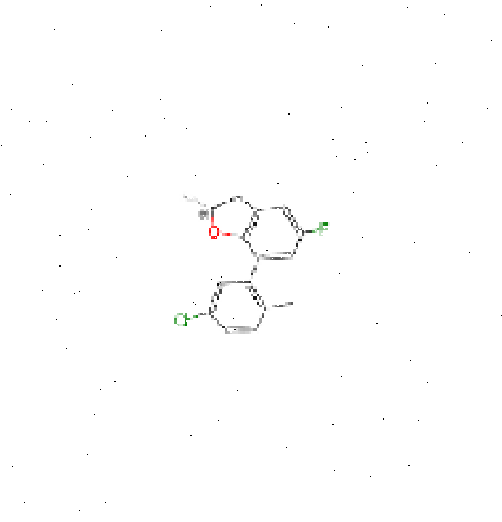 Cc1ccc(Cl)cc1-c1cc(F)cc2c1O[C@H](C)C2